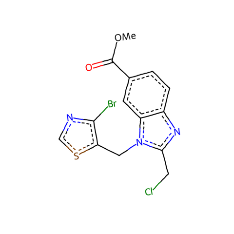 COC(=O)c1ccc2nc(CCl)n(Cc3scnc3Br)c2c1